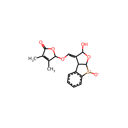 CC1=C(C)C(O/C=C2/C(O)OC3C2c2ccccc2[S+]3[O-])OC1=O